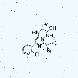 C=C/C(Br)=C1/N=C(c2ccccc2Cl)C=C(N[C@@H](CO)C(C)C)N1N